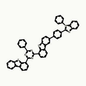 c1ccc(-c2nc(-c3cccc4c3sc3ccccc34)nc(-c3cccc4c3sc3ccc(-c5ccc(-c6nc7ccccc7n6-c6ccccc6)cc5)cc34)n2)cc1